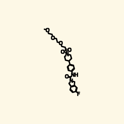 COCCOCCOCCS(=O)(=O)N1CCC(c2ccc(NC(=O)N3Cc4ccc(F)cc4C3)cc2)CC1